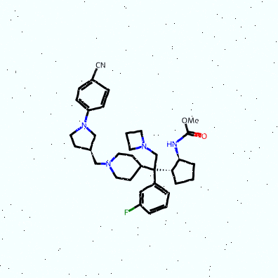 COC(=O)N[C@H]1CCC[C@@H]1C(CN1CCC1)(c1cccc(F)c1)C1CCN(C[C@H]2CCN(c3ccc(C#N)cc3)C2)CC1